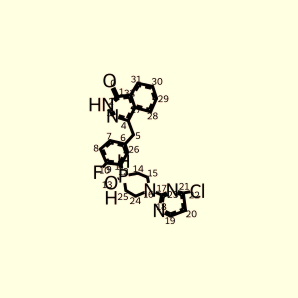 O=c1[nH]nc(Cc2ccc(F)c([PH]3(O)CCN(c4nccc(Cl)n4)CC3)c2)c2ccccc12